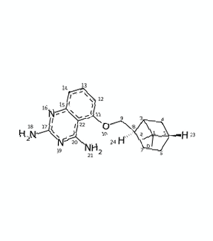 CC1(C)C2C[C@@H]1CC[C@H]2COc1cccc2nc(N)nc(N)c12